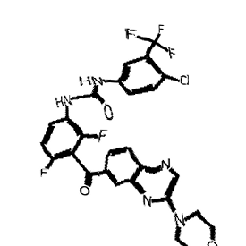 O=C(Nc1ccc(Cl)c(C(F)(F)F)c1)Nc1ccc(F)c(C(=O)c2ccc3ncc(N4CCOCC4)nc3c2)c1F